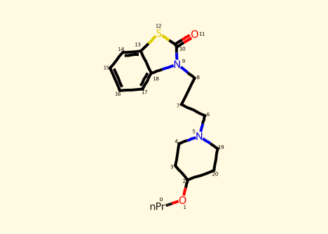 CCCOC1CCN(CCCn2c(=O)sc3ccccc32)CC1